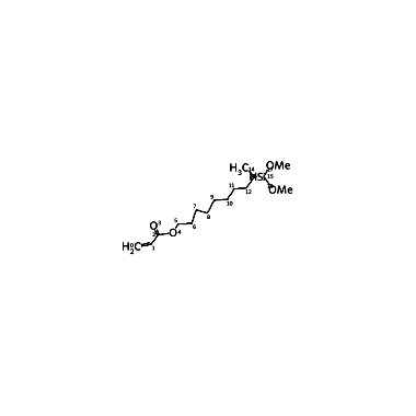 C=CC(=O)OCCCCCCCCC(C)[SiH](OC)OC